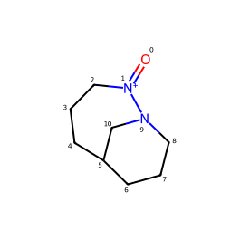 O=[N+]1CCCC2CCCN1C2